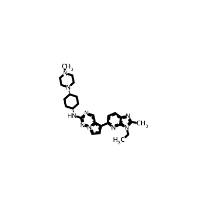 CCn1c(C)nc2ccc(-c3ccn4nc(N[C@H]5CC[C@@H](N6CCN(C)CC6)CC5)ncc34)nc21